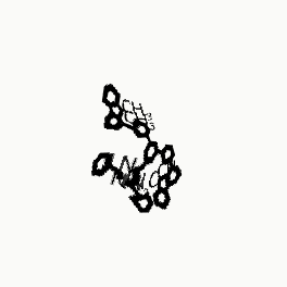 CC1(C)c2ccccc2-c2cccc(-c3cccc(-c4cc(-c5cccc(-c6cccc7c6C(C)(C)c6ccccc6-7)c5)cc(-c5nc(-c6ccccc6)nc(-c6ccccc6)n5)c4)c3)c21